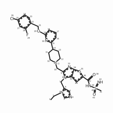 CCn1cncc1Cn1c(CN2CCC(c3cccc(OCc4ccc(Cl)cc4F)n3)CC2)nc2sc(C(=O)NS(C)(=N)=O)cc21